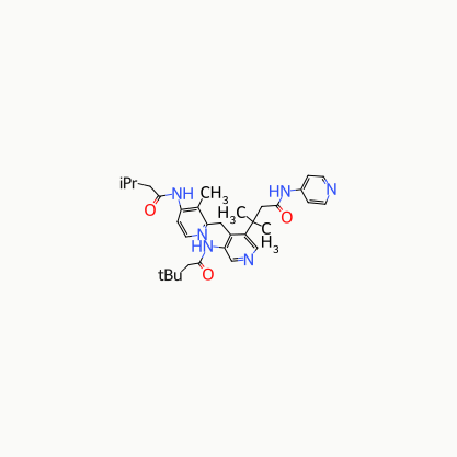 Cc1c(NC(=O)CC(C)C)ccnc1Cc1c(NC(=O)CC(C)(C)C)cncc1C(C)(C)CC(=O)Nc1ccncc1